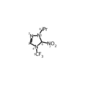 CC(C)N1N=CN(C(F)(F)F)C1[N+](=O)[O-]